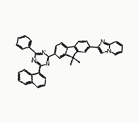 CC1(C)c2cc(-c3cn4ccccc4n3)ccc2-c2ccc(-c3nc(-c4ccccc4)nc(-c4cccc5ccccc45)n3)cc21